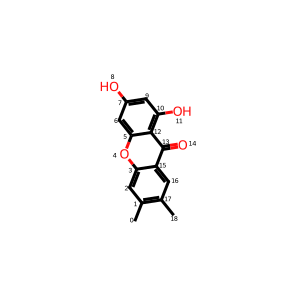 Cc1cc2oc3cc(O)cc(O)c3c(=O)c2cc1C